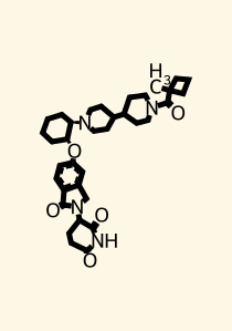 CC1(C(=O)N2CCC(C3CCN([C@@H]4CCCC[C@@H]4Oc4ccc5c(c4)CN(C4CCC(=O)NC4=O)C5=O)CC3)CC2)CCC1